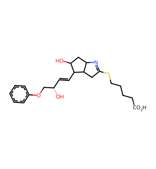 O=C(O)CCCCSC1=NC2CC(O)C(C=C[C@H](O)COc3ccccc3)C2C1